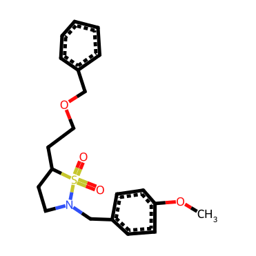 COc1ccc(CN2CCC(CCOCc3ccccc3)S2(=O)=O)cc1